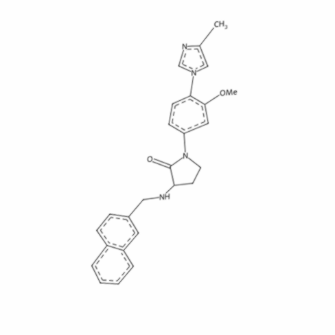 COc1cc(N2CCC(NCc3ccc4ccccc4c3)C2=O)ccc1-n1cnc(C)c1